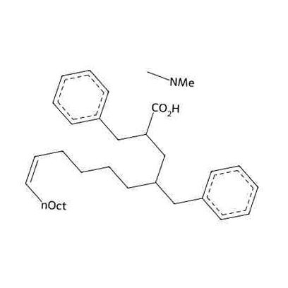 CCCCCCCC/C=C\CCCCC(Cc1ccccc1)CC(Cc1ccccc1)C(=O)O.CNC